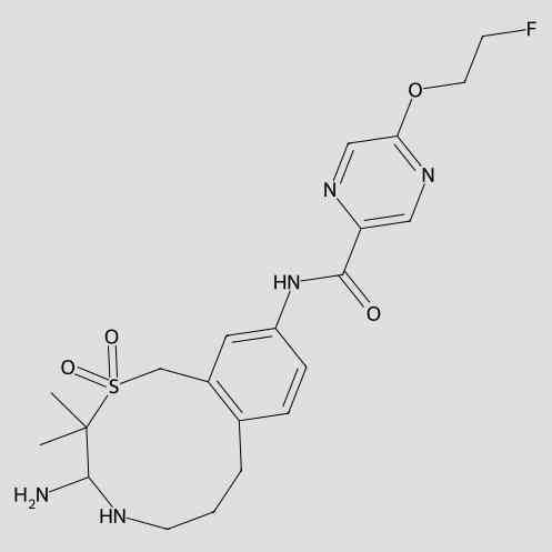 CC1(C)C(N)NCCCc2ccc(NC(=O)c3cnc(OCCF)cn3)cc2CS1(=O)=O